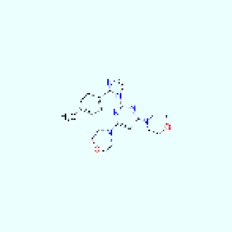 Cc1ccc(-c2nccn2-c2nc(N3CCOCC3)cc(N3CCOCC3)n2)cc1